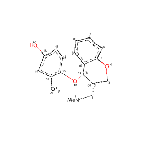 CNC[C@H]1COc2ccccc2[C@H]1Oc1ccc(O)cc1C